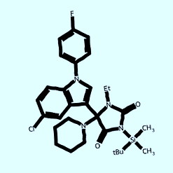 CCN1C(=O)N([Si](C)(C)C(C)(C)C)C(=O)C1(c1cn(-c2ccc(F)cc2)c2ccc(Cl)cc12)N1CCCCC1